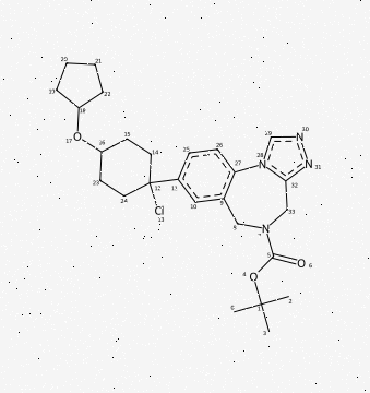 CC(C)(C)OC(=O)N1Cc2cc(C3(Cl)CCC(OC4CCCC4)CC3)ccc2-n2cnnc2C1